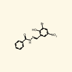 O=C(N/N=C/c1cc([N+](=O)[O-])cc(Br)c1O)c1ccccc1